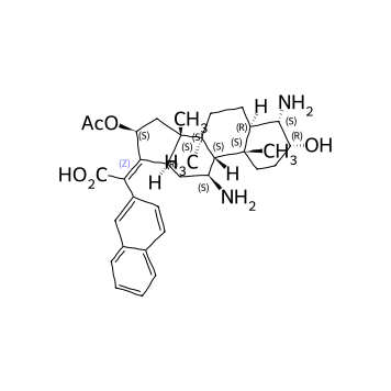 CC(=O)O[C@H]1C[C@@]2(C)[C@@H](C[C@H](N)[C@H]3[C@@]4(C)CC[C@@H](O)[C@@H](N)[C@@H]4CC[C@@]32C)/C1=C(/C(=O)O)c1ccc2ccccc2c1